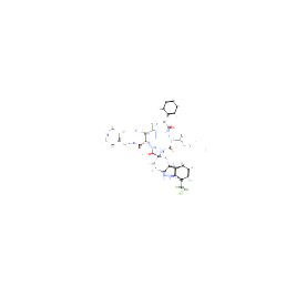 CCC(C)C(NC(=O)Cc1ccccc1F)C(=O)N[C@]1(C(=O)NC(C(=O)NCC2CCNCC2)C(C)CC)CCc2[nH]c3c(C(F)(F)F)cccc3c2C1